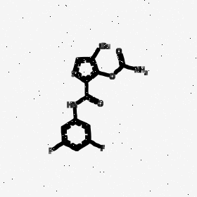 CC(C)(C)c1csc(C(=O)Nc2cc(F)cc(F)c2)c1OC(N)=O